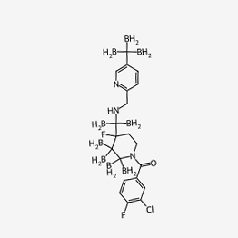 BC(B)(B)c1ccc(CNC(B)(B)C2(F)CCN(C(=O)c3ccc(F)c(Cl)c3)C(B)(B)C2(B)B)nc1